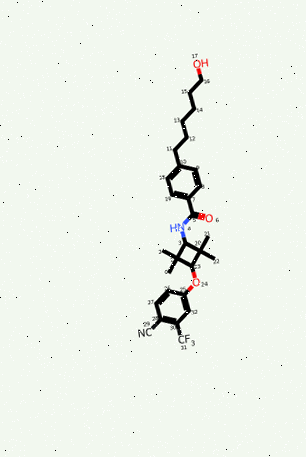 CC1(C)C(NC(=O)c2ccc(CCCCCCO)cc2)C(C)(C)C1Oc1ccc(C#N)c(C(F)(F)F)c1